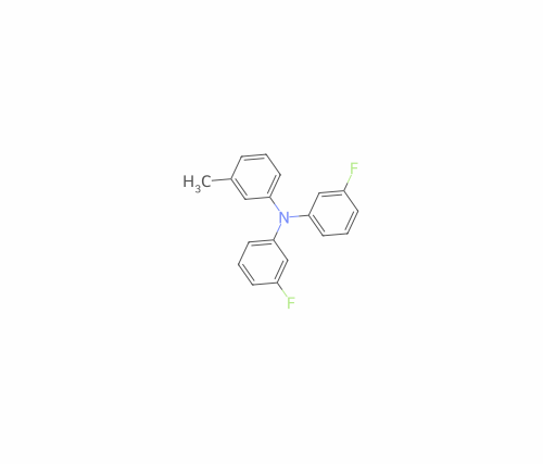 Cc1cccc(N(c2cccc(F)c2)c2cccc(F)c2)c1